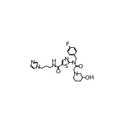 O=C(NCCCn1ccnc1)c1cnc(N(Cc2ccc(F)cc2)C(=O)CN2CCCC(O)C2)s1